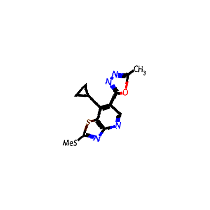 CSc1nc2ncc(-c3nnc(C)o3)c(C3CC3)c2s1